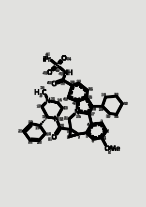 COc1ccc2c(c1)C1CC1(C(=O)N1CCN(C)C[C@H]1C1C=CC=CC1)Cn1c-2c(C2CCCCC2)c2ccc(C(=O)NS(=O)(=O)C(C)C)cc21